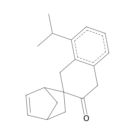 CC(C)c1cccc2c1CC1(CC3C=CC1C3)C(=O)C2